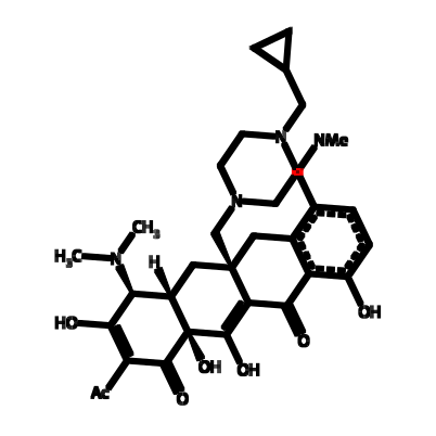 CNCc1ccc(O)c2c1C[C@@]1(CN3CCN(CC4CC4)CC3)C[C@H]3[C@H](N(C)C)C(O)=C(C(C)=O)C(=O)[C@@]3(O)C(O)=C1C2=O